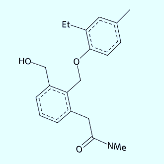 CCc1cc(C)ccc1OCc1c(CO)cccc1CC(=O)NC